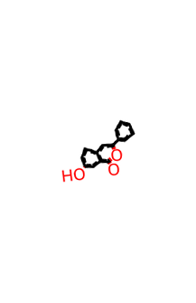 O=c1oc(-c2ccccc2)cc2ccc(O)cc12